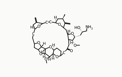 C=C1C[C@@H]2CCC3CC4O[C@H]5[C@@H](OC)[C@H]6OC(CC[C@@H]6O[C@H]5[C@H]4O3)CC(=O)C[C@@H]3[C@@H](OC)[C@@H](C[C@H](O)CN)O[C@H]3CC3O[C@@H](CCC1O2)C[C@@H](C)C3=C